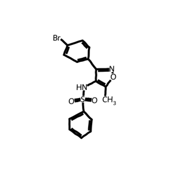 Cc1onc(-c2ccc(Br)cc2)c1NS(=O)(=O)c1ccccc1